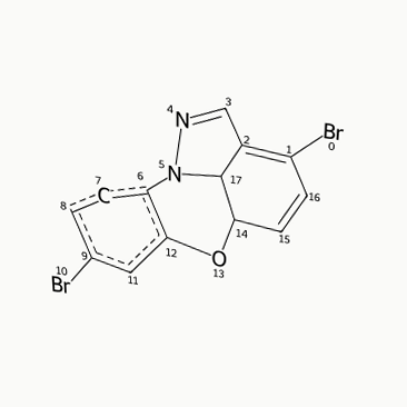 BrC1=C2C=NN3c4ccc(Br)cc4OC(C=C1)C23